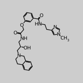 Cn1cnc(CCNC(=O)c2cccc(OCC(=O)NC[C@@H](O)CN3CCc4ccccc4C3)c2)c1